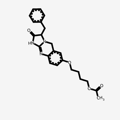 CC(=O)OCCCCOc1ccc2c(c1)CN1C(=N2)NC(=O)C1Cc1ccccc1